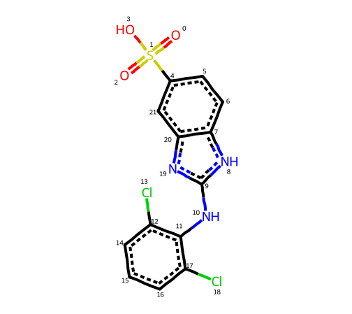 O=S(=O)(O)c1ccc2[nH]c(Nc3c(Cl)cccc3Cl)nc2c1